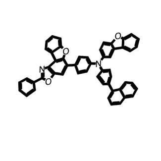 c1ccc(-c2nc3c(cc(-c4ccc(N(c5ccc(-c6cccc7ccccc67)cc5)c5ccc6oc7ccccc7c6c5)cc4)c4oc5ccccc5c43)o2)cc1